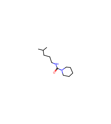 CC(C)CCCNC(=O)N1CCCCC1